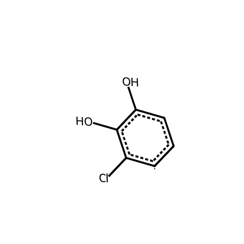 Oc1cc[c]c(Cl)c1O